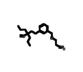 CCCC(O)(CCC)CCc1cccc(COCCN)c1